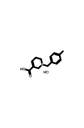 Cc1ccc(CN2CCC=C(C(=O)O)C2)cc1.Cl